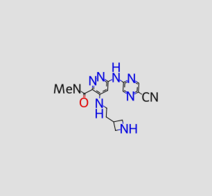 CNC(=O)c1nnc(Nc2cnc(C#N)cn2)cc1NCCC1CNC1